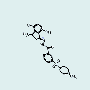 CC1C/C(=N\NC(=O)c2cccc(S(=O)(=O)N3CCN(C)CC3)c2)c2c(O)ccc(Cl)c21